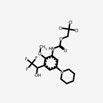 COc1c(NC(=O)OCC(Cl)(Cl)Cl)cc(N2CCCCC2)cc1C(O)C(F)(F)F